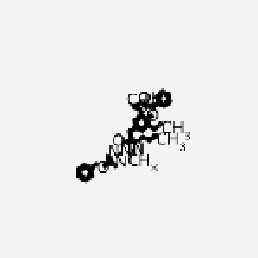 CCCCc1nc(C)n(-c2ncc(OCc3ccccc3)cn2)c(=O)c1Cc1cc(CCC)c(OC(C(=O)O)c2ccccc2)c(CCC)c1